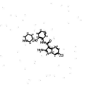 Nc1nn2cc(Cl)cnc2c1C(=O)Nc1cnccc1O[C@H]1CCCNC1